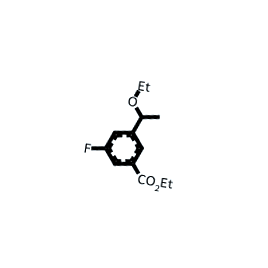 CCOC(=O)c1cc(F)cc(C(C)OCC)c1